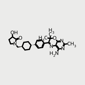 Cc1nc(N)c2c(n1)OC(C)(C)C(c1ccc([C@H]3CC[C@H](CN4CCC(O)C4=O)CC3)cc1)=N2